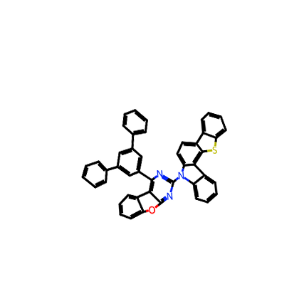 c1ccc(-c2cc(-c3ccccc3)cc(-c3nc(-n4c5ccccc5c5c6sc7ccccc7c6ccc54)nc4oc5ccccc5c34)c2)cc1